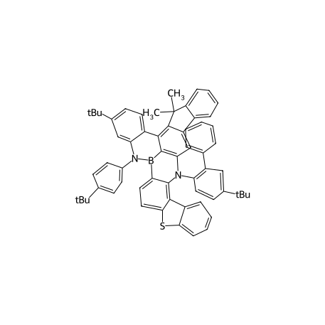 CC(C)(C)c1ccc(N2B3c4ccc5sc6ccccc6c5c4N(c4ccc(C(C)(C)C)cc4-c4ccccc4)c4cc5c(c(c43)-c3ccc(C(C)(C)C)cc32)C(C)(C)c2ccccc2-5)cc1